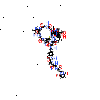 CC[C@H](C)[C@@H]1NC(=O)CNC(=O)[C@@H]2Cc3c([nH]c4ccccc34)SC[C@H](NC(=O)CNC1=O)C(=O)N[C@@H](CC(=O)NCc1ccc(NC(=O)[C@H](C)NC(=O)CNC(=O)CCN3C(=O)C=CC3=O)cc1)C(=O)N1CCC[C@H]1N[C@@H]([C@@H](C)[C@@H](O)CO)C(=O)N2